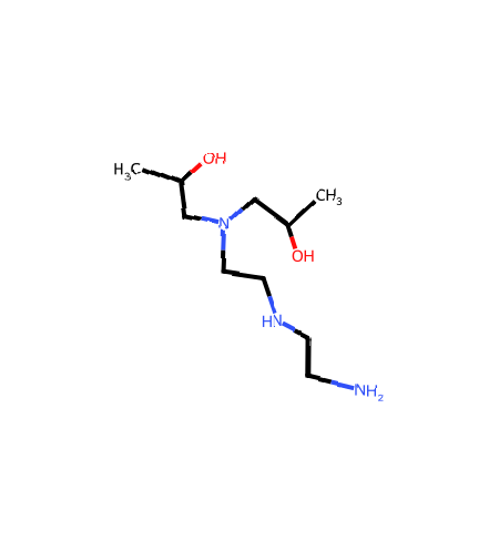 CC(O)CN(CCNCCN)CC(C)O